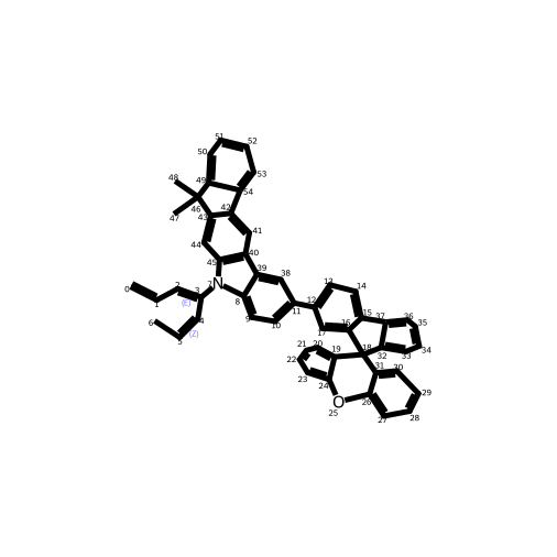 C=C/C=C(\C=C/C)n1c2ccc(-c3ccc4c(c3)C3(c5ccccc5Oc5ccccc53)c3ccccc3-4)cc2c2cc3c(cc21)C(C)(C)c1ccccc1-3